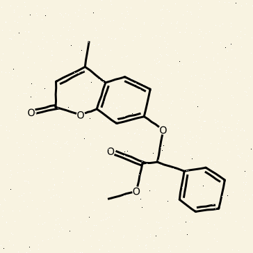 COC(=O)C(Oc1ccc2c(C)cc(=O)oc2c1)c1ccccc1